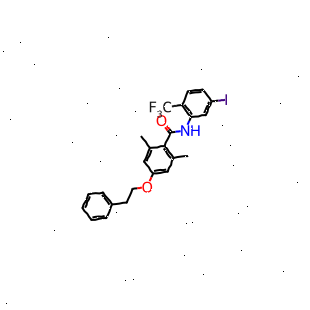 Cc1cc(OCCc2ccccc2)cc(C)c1C(=O)Nc1cc(I)ccc1C(F)(F)F